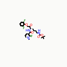 C=N/C(F)=C(\C=C/C)C(=O)N[C@@H](CCCCNC(=O)OC(C)(C)C)C(=O)COc1c(F)cccc1F